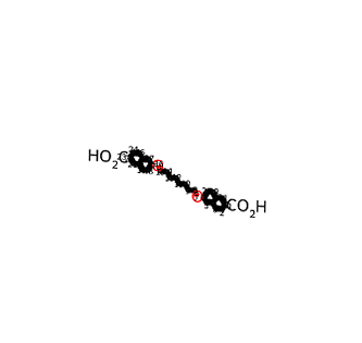 O=C(O)c1ccc2cc(OCCCCCCCCOc3ccc4cc(C(=O)O)ccc4c3)ccc2c1